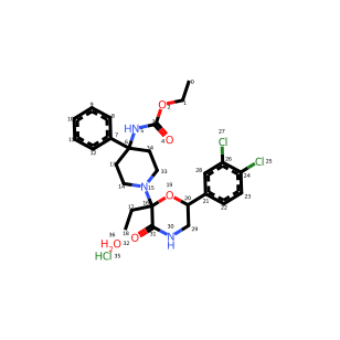 CCOC(=O)NC1(c2ccccc2)CCN(C2(CC)OC(c3ccc(Cl)c(Cl)c3)CNC2=O)CC1.Cl.O